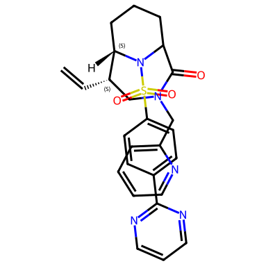 C=C[C@H]1CN(Cc2ccccn2)C(=O)C2CCC[C@@H]1N2S(=O)(=O)c1ccc(-c2ncccn2)cc1